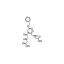 O=C(O)CNCC(=O)N(CC(=O)OCc1ccccc1)C(=O)CNCC(=O)O